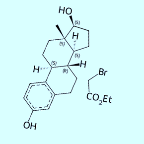 CCOC(=O)CBr.C[C@]12CC[C@@H]3c4ccc(O)cc4CC[C@H]3[C@@H]1CC[C@@H]2O